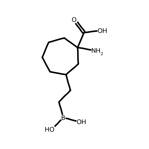 NC1(C(=O)O)CCCCC(CCB(O)O)C1